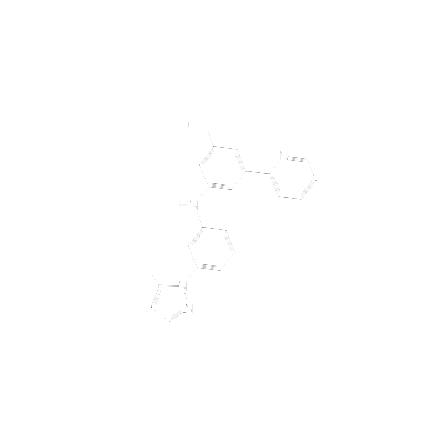 Cc1ccnn1-c1cccc(Nc2cc(-c3ccccn3)cc(C(C)(C)C)c2)c1